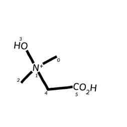 C[N+](C)(O)CC(=O)O